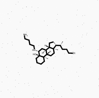 CC(C)CCC[C@@H](C)[C@H]1CC[C@H]2[C@@H]3C[C@@H](NCCCCN)[C@@]4(O)CCCC[C@]4(C)[C@H]3CC[C@]12C